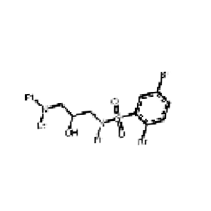 CCN(CC)CC(O)CN(CC)S(=O)(=O)c1cc(Br)ccc1Br